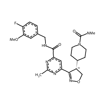 CNC(=O)N1CCC([C@@H]2CON=C2c2cc(C(=O)NCc3ccc(F)c(OC)c3)nc(C)n2)CC1